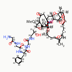 C=C1C[C@@H]2CC[C@@]34C[C@H]5OC6C(O[C@H]7CC[C@@H]8CC(=O)C[C@@H]9[C@@H](OC)[C@@H](C[C@H](O)CNC(=O)CNC(=O)[C@H](Cc%10ccccc%10)NC(=O)CNC(=O)CN)O[C@H]9C[C@H]9O[C@@H](CCC1O2)C[C@@H](C)/C9=N/[C@@]7(O8)[C@@H]6O3)[C@H]5O4